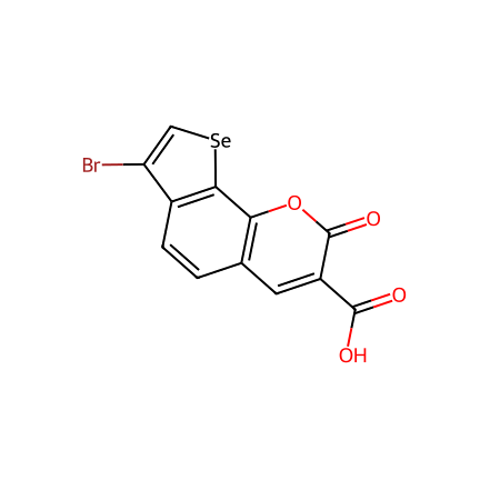 O=C(O)c1cc2ccc3c(Br)c[se]c3c2oc1=O